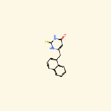 O=c1cc(Cc2cccc3ccccc23)[nH]c(=S)[nH]1